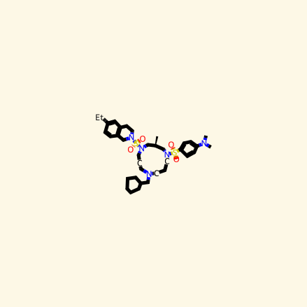 CCc1ccc2c(c1)CCN(S(=O)(=O)N1CCCN(CC3CCCCC3)CCCN(S(=O)(=O)c3ccc(N(C)C)cc3)C[C@H](C)C1)C2